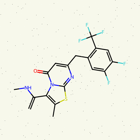 C=C(NC)c1c(C)sc2nc(Cc3cc(F)c(F)cc3C(F)(F)F)cc(=O)n12